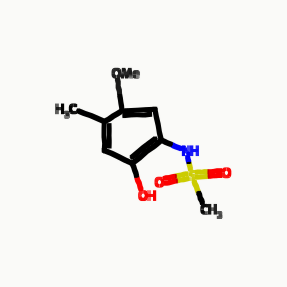 COc1cc(NS(C)(=O)=O)c(O)cc1C